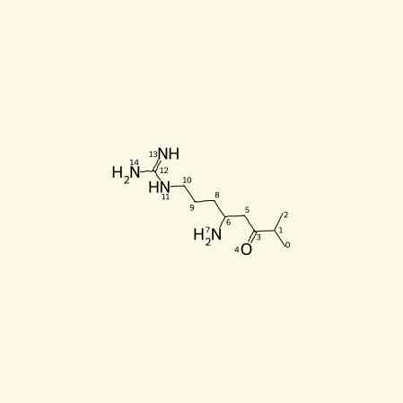 CC(C)C(=O)CC(N)CCCNC(=N)N